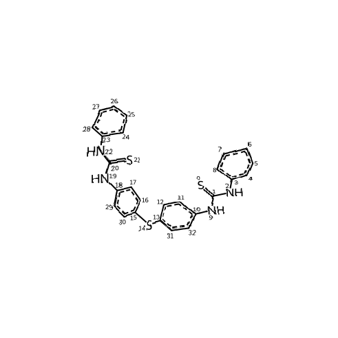 S=C(Nc1ccccc1)Nc1ccc(Sc2ccc(NC(=S)Nc3ccccc3)cc2)cc1